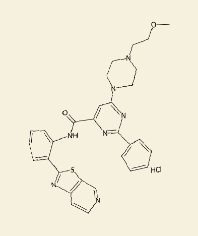 COCCN1CCN(c2cc(C(=O)Nc3ccccc3-c3nc4ccncc4s3)nc(-c3ccccc3)n2)CC1.Cl